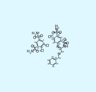 NS(=O)(=O)c1cc(Cl)c(Cl)c(S(N)(=O)=O)c1.NS(=O)(=O)c1cc2c(cc1Cl)N=C(CSCc1ccccc1)NS2(=O)=O